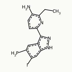 CCc1nc(-c2n[nH]c3cc(I)c(P)cc23)ccc1N